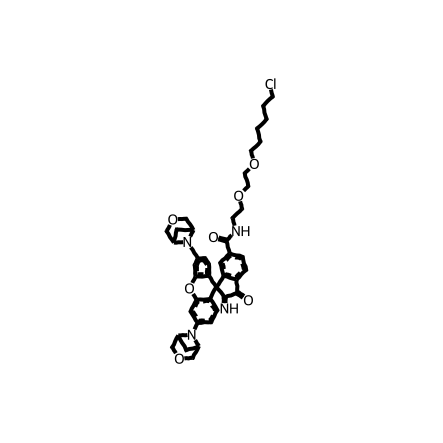 N=C1C(=O)c2ccc(C(=O)NCCOCCOCCCCCCCl)cc2C12c1ccc(N3C4COCC3C4)cc1Oc1cc(N3C4COCC3C4)ccc12